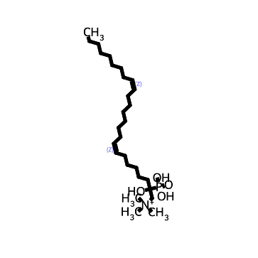 CCCCCCCC/C=C\CCCCCC/C=C\CCCCCC(O)(C[N+](C)(C)C)P(=O)(O)O